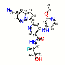 CCOc1cc(Nc2cc(-c3ccc4cc(C#N)cnn34)ncc2C(=O)NCC(F)C(C)(C)O)ccn1